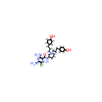 Nc1nc(N)c(C(=O)NC2CCC[N+](CCCc3ccc(O)cc3)(CCCc3ccc(O)cc3)C2)nc1Cl